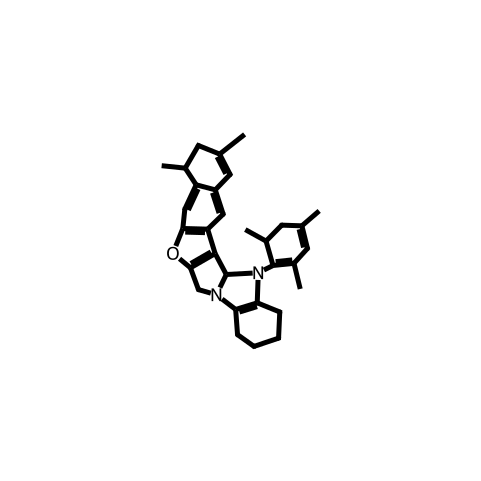 CC1=CC(C)=C(N2C3=C(CCCC3)N3Cc4oc5cc6c(cc5c4C32)C=C(C)CC6C)C(C)C1